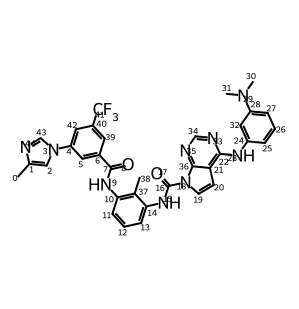 Cc1cn(-c2cc(C(=O)Nc3cccc(NC(=O)n4ccc5c(Nc6cccc(N(C)C)c6)ncnc54)c3C)cc(C(F)(F)F)c2)cn1